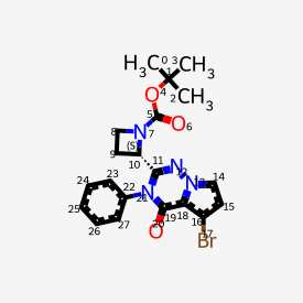 CC(C)(C)OC(=O)N1CC[C@H]1c1nn2ccc(Br)c2c(=O)n1-c1ccccc1